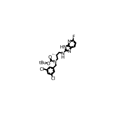 C[C@H](CNc1nc2ccc(F)nc2[nH]1)CN(Cc1cc(Cl)cc(Cl)c1)C(=O)OC(C)(C)C